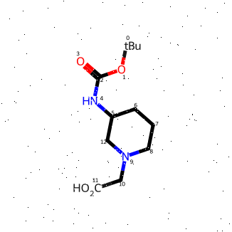 CC(C)(C)OC(=O)NC1CCCN(CC(=O)O)C1